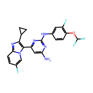 Nc1cc(-c2c(C3CC3)nc3ccc(F)cn23)nc(Nc2ccc(OC(F)F)c(F)c2)n1